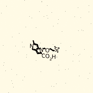 Cc1cc2c(cn1)cc(C(=O)O)n2COCC[Si](C)(C)C